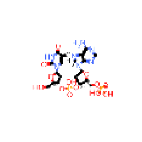 Cc1cn(C2C[C@H](OP(=O)(O)O[C@@H]3C[C@H](n4cnc5c(N)ncnc54)O[C@@H]3COP(=O)(O)O)C(CO)O2)c(=O)[nH]c1=O